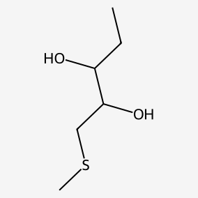 CCC(O)C(O)CSC